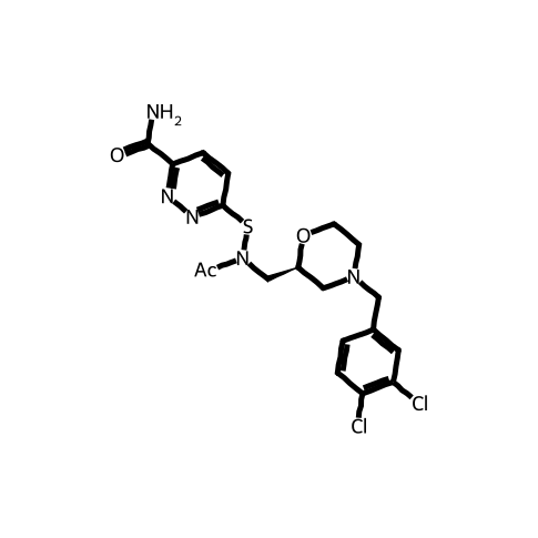 CC(=O)N(C[C@@H]1CN(Cc2ccc(Cl)c(Cl)c2)CCO1)Sc1ccc(C(N)=O)nn1